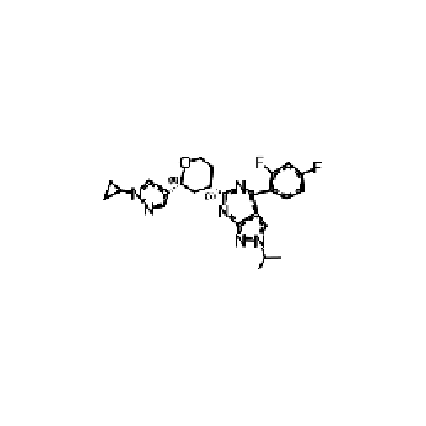 CC(C)n1cc2c(-c3ccc(F)cc3F)nc([C@H]3CCO[C@@H](c4cnn(C5CC5)c4)C3)nc2n1